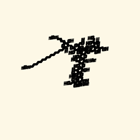 CCCCCCCCCCCCC/C=C/[C@@H](O)[C@H](CO[C@@H]1OC(CO)[C@@H](O[C@@H]2OC(CO)[C@H](O[C@@H]3OC(CO)[C@H](O)[C@H](O[C@@H]4OC(CO)[C@H](O)[C@H](O[C@]5(C(=O)O)CC(O)[C@@H](NC(C)=O)C([C@H](O)[C@H](O)CO)O5)C4O)C3NC(C)=O)[C@H](O[C@]3(C(=O)O)CC(O)[C@@H](NC(=O)CO)C([C@H](O)[C@H](O)CO)O3)C2O)[C@H](O)C1O)NC(=O)CCCCCCCCCCCCCCCCCCCCCCCCC